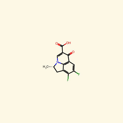 C[C@H]1Cc2c(F)c(F)cc3c(=O)c(C(=O)O)cn1c23